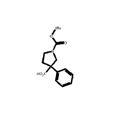 CC(C)(C)OC(=O)N1CCC(C(=O)O)(c2ccccc2)C1